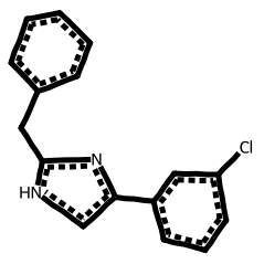 Clc1cccc(-c2c[nH]c(Cc3ccccc3)n2)c1